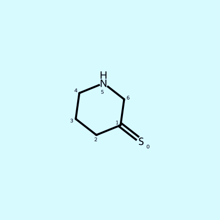 S=C1CCCNC1